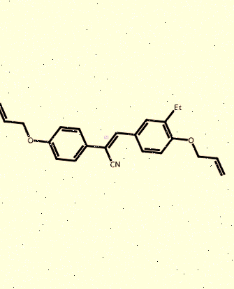 C=CCOc1ccc(/C(C#N)=C/c2ccc(OCC=C)c(CC)c2)cc1